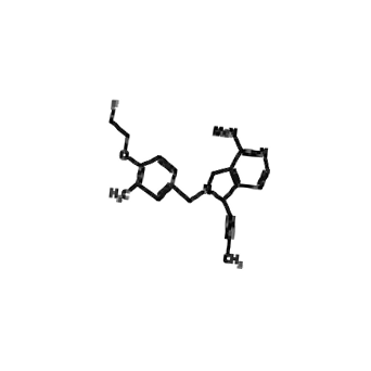 CC#CC1c2ccnc(NC)c2CN1Cc1ccc(OCCF)c(C)c1